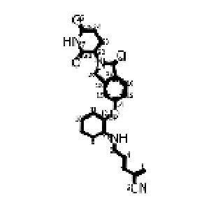 C=C(C#N)CCCNC1CCCCC1Oc1ccc2c(c1)CN(C1CCC(=O)NC1=O)C2=O